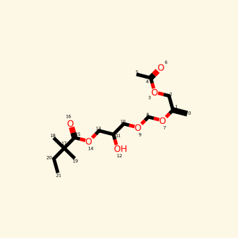 C=C(COC(C)=O)OCOCC(O)COC(=O)C(C)(C)CC